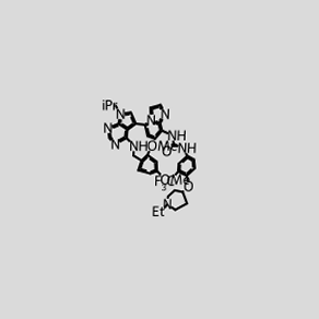 CCN1CCC(Oc2ccc(NC(=O)Nc3ccc(-c4cn(C(C)C)c5ncnc(NCc6ccc(OC)cc6OC)c45)n4ccnc34)cc2C(F)(F)F)CC1